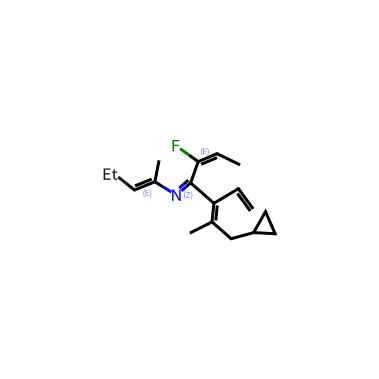 C=CC(=C(C)CC1CC1)C(=N/C(C)=C/CC)/C(F)=C\C